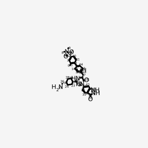 Cc1cc(S(=O)(=O)N(C)C)ccc1-c1ccc(C[C@H](NC(=O)[C@H]2CC[C@H](CN)CC2)C(=O)Nc2ccc3c(=O)[nH][nH]c3c2)cc1.Cl